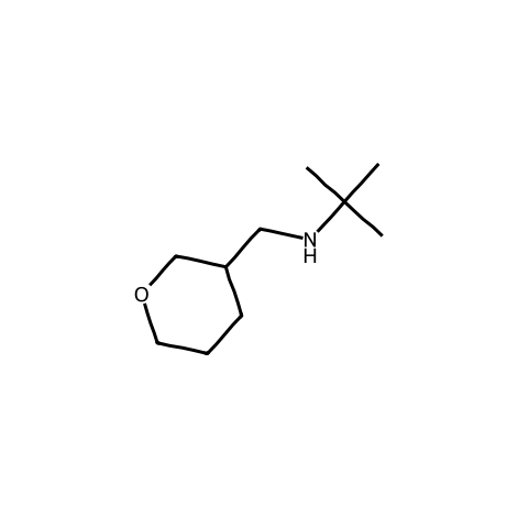 CC(C)(C)NCC1CCCOC1